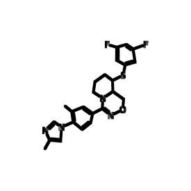 Cc1cn(-c2ccc(C3=NOCC4C(Sc5cc(F)cc(F)c5)CCCN34)cc2C)cn1